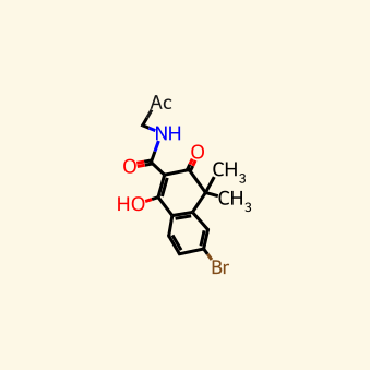 CC(=O)CNC(=O)C1=C(O)c2ccc(Br)cc2C(C)(C)C1=O